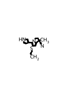 C=CCSc1cc2n(c1-c1cc[nH]c1)CCC2(C)C#N